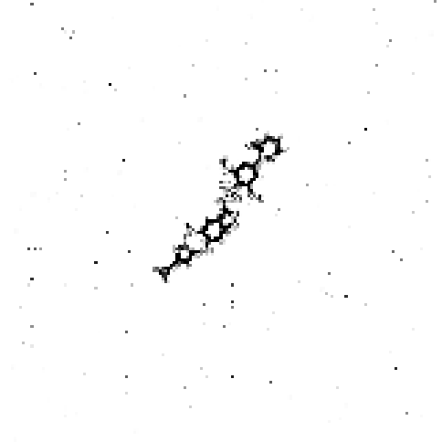 COc1cc2c(NS(=O)(=O)c3c(OC)cc(-n4ncccc4=O)cc3OC)noc2cc1Nc1cc(C2CC2)n[nH]1